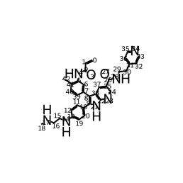 C=CC(=O)Nc1cc(-c2c(-c3ccc(NCCNC)cc3)[nH]c3ncc(C(=O)NCCc4ccncc4)cc23)ccc1C